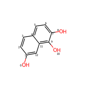 Oc1ccc2ccc(O)c(O)c2c1